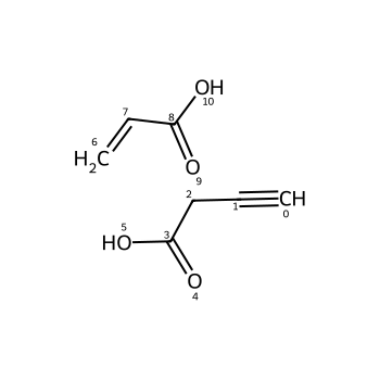 C#CCC(=O)O.C=CC(=O)O